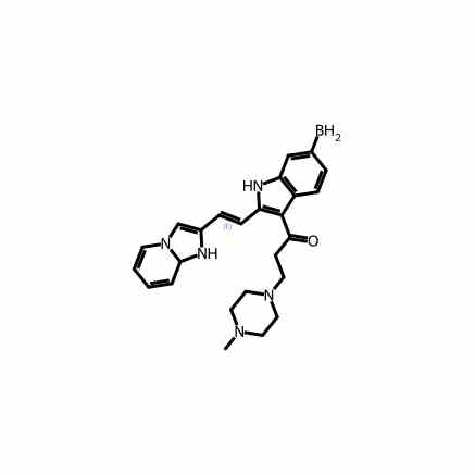 Bc1ccc2c(C(=O)CCN3CCN(C)CC3)c(/C=C/C3=CN4C=CC=CC4N3)[nH]c2c1